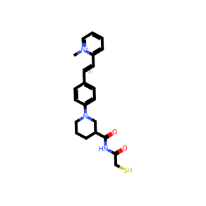 C[n+]1ccccc1/C=C/c1ccc(N2CCCC(C(=O)NC(=O)CS)C2)cc1